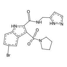 O=C(NCc1ccn[nH]1)c1[nH]c2ccc(Br)cc2c1S(=O)(=O)N1CCCC1